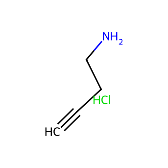 C#CCCN.Cl